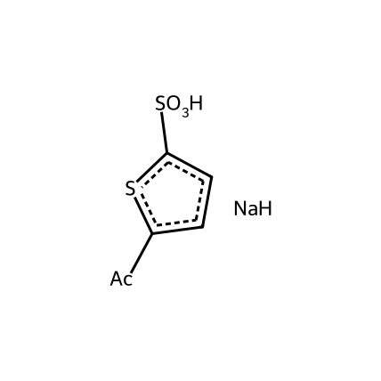 CC(=O)c1ccc(S(=O)(=O)O)s1.[NaH]